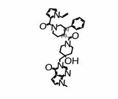 C=Cn1cccc1C(=O)N1CC[C@@H](C(=O)N2CCC(O)(Cn3cnc4c(ccn4C)c3=O)CC2)[C@H](c2ccccc2)C1